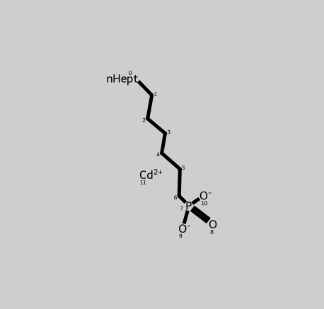 CCCCCCCCCCCCCP(=O)([O-])[O-].[Cd+2]